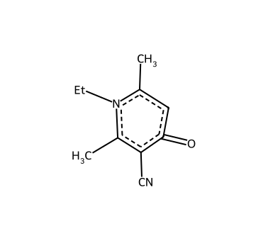 CCn1c(C)cc(=O)c(C#N)c1C